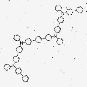 C1=CCCC(N(C2=CCC(C3=CCCC=C3)C=C2)c2ccc(-c3ccc(N(C4=CCCC=C4)C4=CC=C(C5=CC=C(c6ccc(N(c7ccccc7)c7ccc(-c8ccc(N(c9ccccc9)c9ccc(-c%10ccccc%10)cc9)cc8)cc7)cc6)CC5)CC4)cc3)cc2)=C1